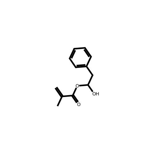 C=C(C)C(=O)OC(O)Cc1ccccc1